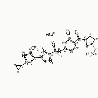 Cl.Cn1c(-c2cn(C3CC3)nc2C(F)(F)F)cnc1C(=O)Nc1ccc(C(=O)N2CC[C@H](CN)C2)c(Cl)c1